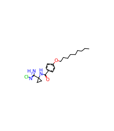 CCCCCCCCCOc1ccc(C(=O)NC2(/C(N)=N/Cl)CC2)cc1